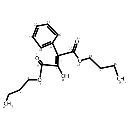 CCCCOC(=O)/C(O)=C(/C(=O)OCCCC)c1ccccc1